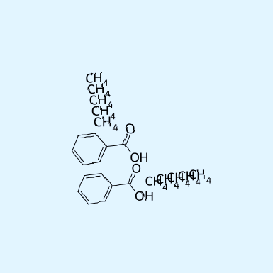 C.C.C.C.C.C.C.C.C.C.O=C(O)c1ccccc1.O=C(O)c1ccccc1